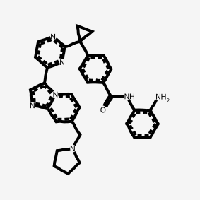 Nc1ccccc1NC(=O)c1ccc(C2(c3nccc(-c4cnc5cc(CN6CCCC6)ccn45)n3)CC2)cc1